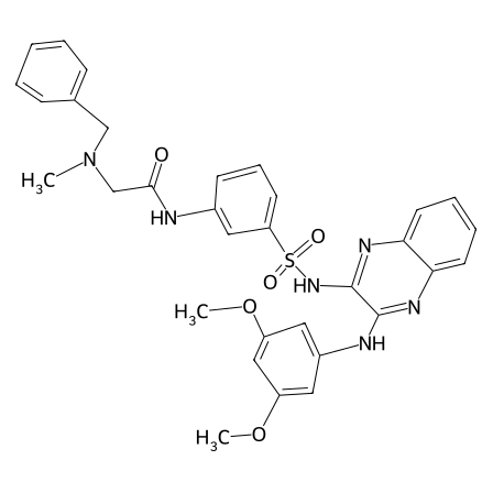 COc1cc(Nc2nc3ccccc3nc2NS(=O)(=O)c2cccc(NC(=O)CN(C)Cc3ccccc3)c2)cc(OC)c1